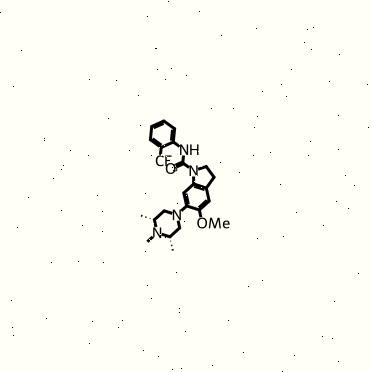 COc1cc2c(cc1N1C[C@@H](C)N(C)[C@@H](C)C1)N(C(=O)Nc1ccccc1C(F)(F)F)CC2